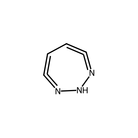 C1=CC=C=NNN=1